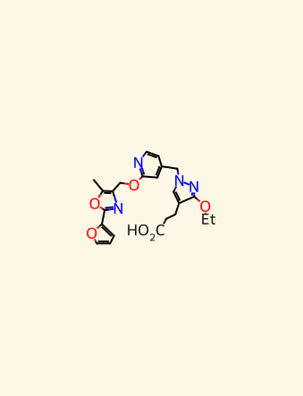 CCOc1nn(Cc2ccnc(OCc3nc(-c4ccco4)oc3C)c2)cc1CCC(=O)O